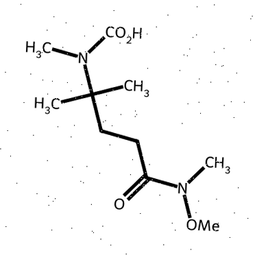 CON(C)C(=O)CCC(C)(C)N(C)C(=O)O